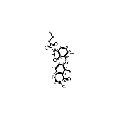 CCCS(=O)(=O)Nc1ccc(F)c(Oc2ccc3ncn(C)c(=O)c3c2C)c1Cl